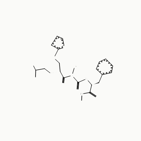 CNC(=O)[C@H](Cc1ccccc1)NC(=O)N(O)C(=O)[C@H](CCC(C)C)CSc1cccs1